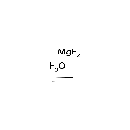 C=C.O.[MgH2]